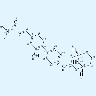 CN(C)C(=O)/C=C/c1ccc(-c2ccc(OC3C[C@H]4CCC[C@@H](C3)N4)nn2)c(O)c1